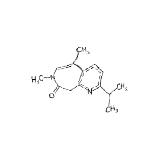 CC1=CN(C)C(=O)Cc2nc(C(C)C)ccc21